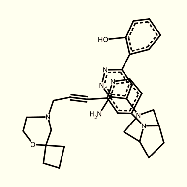 Nc1nnc(-c2ccccc2O)cc1N1CC2CCC(C1)N2c1ccnc(C#CCN2CCOC3(CCC3)C2)c1